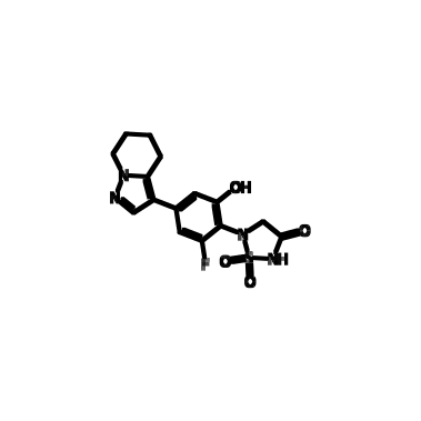 O=C1CN(c2c(O)cc(-c3cnn4c3CCCC4)cc2F)S(=O)(=O)N1